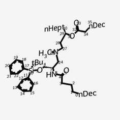 CCCCCCCCCCCCCC(=O)N[C@@H](CO[Si](c1ccccc1)(c1ccccc1)C(C)(C)C)CN(C)CC[C@@H](CCCCCCC)OC(=O)CCCCCCCCCCC